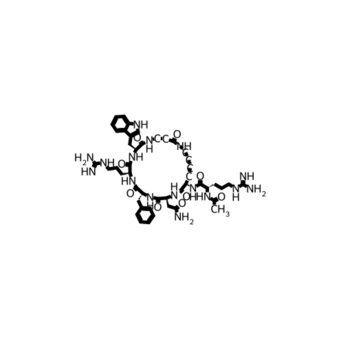 CC(=O)N[C@@H](CCCNC(=N)N)C(=O)N[C@H]1CCCCNC(=O)CCNC(=O)[C@H](Cc2c[nH]c3ccccc23)NC(=O)[C@H](CCCNC(=N)N)NC(=O)[C@@H](Cc2ccccc2)NC(=O)[C@H](CC(N)=O)NC1=O